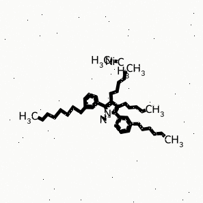 CCCCCCCCc1cccc(C2=C(CCCCCC)C(CCCCC)=C(c3cccc(CCCCCC)c3)[N+]2=[N-])c1.[CH3][Ni][CH3]